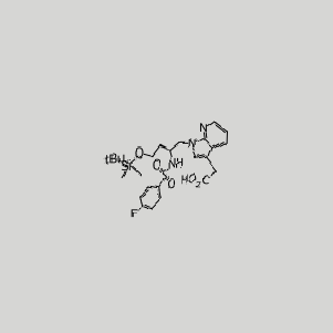 CC(C)(C)[Si](C)(C)OCC[C@@H](Cn1cc(CC(=O)O)c2cccnc21)NS(=O)(=O)c1ccc(F)cc1